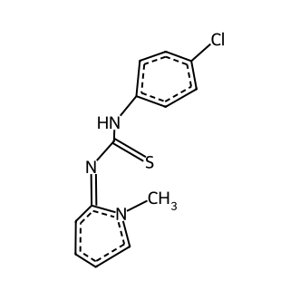 Cn1ccccc1=NC(=S)Nc1ccc(Cl)cc1